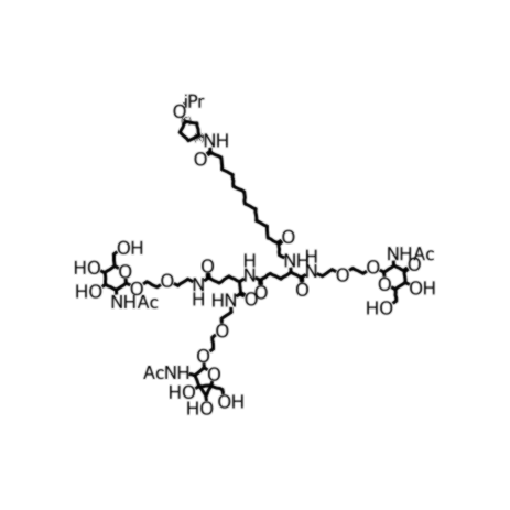 CC(=O)NC1C(=O)C(O)C(CO)OC1OCCOCCNC(=O)C(CCC(=O)NC(CCC(=O)NCCOCCOC1OC(CO)C(O)C(O)C1NC(C)=O)C(=O)NCCOCCOC1OC2(CO)C(O)C2(O)C1NC(C)=O)NCC(=O)CCCCCCCCCCC(=O)N[C@@H]1CC[C@H](OC(C)C)C1